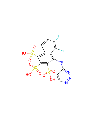 O=S(=O)(O)c1c(S(=O)(=O)O)c(Nc2ccnnn2)c2c(F)c(F)ccc2c1S(=O)(=O)O